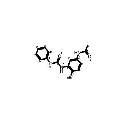 CC(=O)Nc1ccc(Br)c(NC(=O)Oc2ccccc2)c1